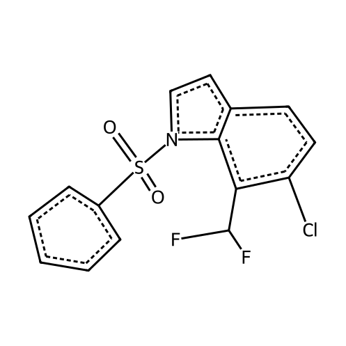 O=S(=O)(c1ccccc1)n1ccc2ccc(Cl)c(C(F)F)c21